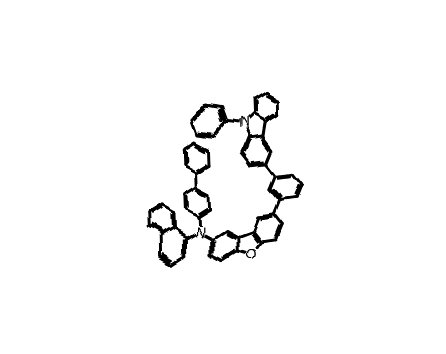 c1ccc(-c2ccc(N(c3ccc4oc5ccc(-c6cccc(-c7ccc8c(c7)c7ccccc7n8-c7ccccc7)c6)cc5c4c3)c3cccc4ccccc34)cc2)cc1